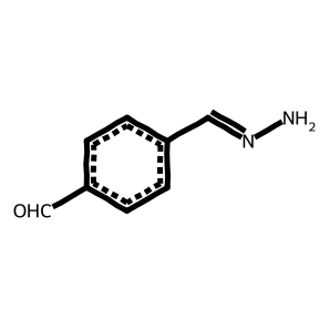 N/N=C/c1ccc(C=O)cc1